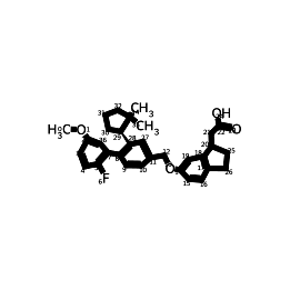 COc1ccc(F)c(-c2ccc(COc3ccc4c(c3)C(CC(=O)O)CC4)cc2[C@H]2CCCC2(C)C)c1